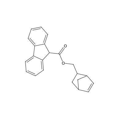 O=C(OCC1CC2C=CC1C2)C1c2ccccc2-c2ccccc21